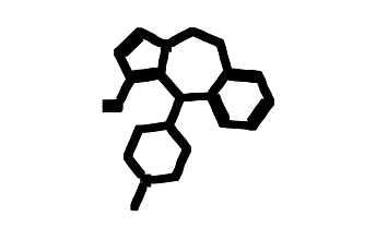 CN1CCC(C2c3ccccc3CCn3ccc(O)c32)CC1